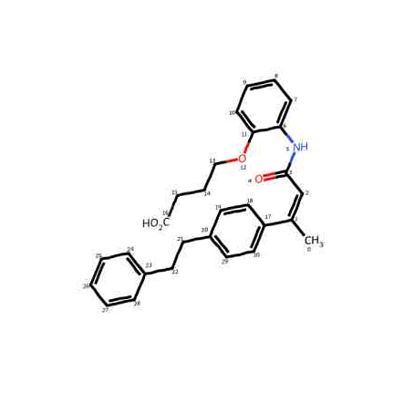 CC(=CC(=O)Nc1ccccc1OCCCC(=O)O)c1ccc(CCc2ccccc2)cc1